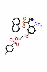 Cc1ccc(S(=O)(=O)OCCOc2ccc(N)c(C(=N)S(=O)(=O)c3cccc4ccccc34)c2)cc1